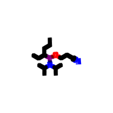 CCCC(CC)P(OCCC#N)N(C(C)C)C(C)C